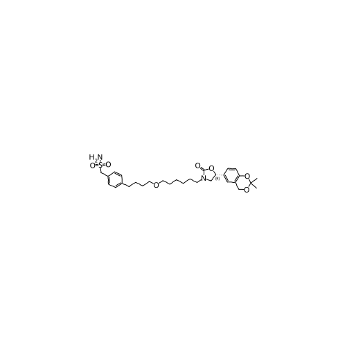 CC1(C)OCc2cc([C@@H]3CN(CCCCCCOCCCCc4ccc(CS(N)(=O)=O)cc4)C(=O)O3)ccc2O1